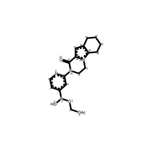 CC(=O)OCOB(O)c1ccnc(N2CCn3c(cc4c3CCCC4)C2=O)c1